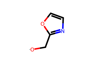 [O]Cc1ncco1